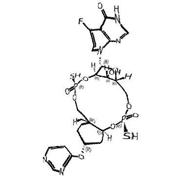 O=c1[nH]cnc2c1c(F)cn2[C@@H]1O[C@@H]2CO[P@@](=O)(S)O[C@H]3C[C@H](Oc4ccncn4)C[C@@H]3CO[P@@](=O)(S)O[C@@H]1[C@@H]2O